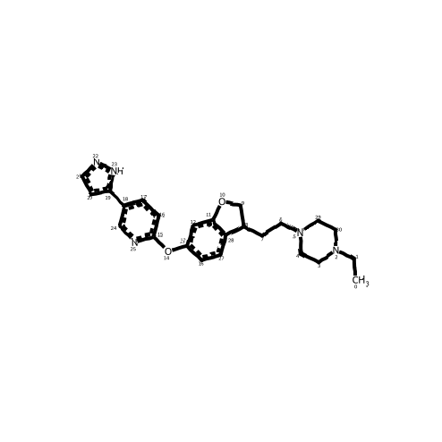 CCN1CCN(CCC2COc3cc(Oc4ccc(-c5ccn[nH]5)cn4)ccc32)CC1